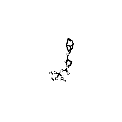 CC(C)(C)OC(=O)n1ccc(OCC2C3C=CC2CC3)n1